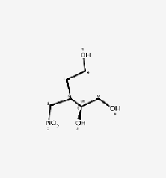 O=[N+]([O-])CC(CCO)[C@H](O)CO